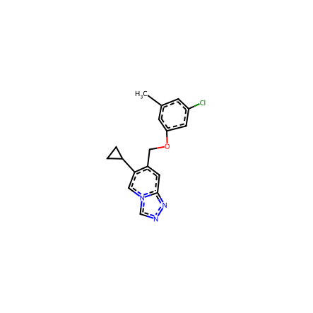 Cc1cc(Cl)cc(OCc2cc3nncn3cc2C2CC2)c1